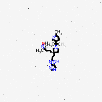 Cc1ccc(C(C)(C)N2CC[C@@](CCCC(C)(C)N=O)(CCc3nc4ncncc4[nH]3)C2)cn1